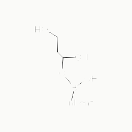 CCCCCB(O)OC(O)CCO